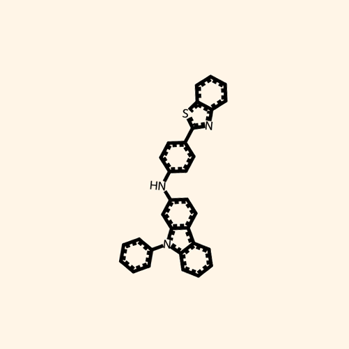 c1ccc(-n2c3ccccc3c3ccc(Nc4ccc(-c5nc6ccccc6s5)cc4)cc32)cc1